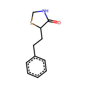 O=C1NCSC1CCc1ccccc1